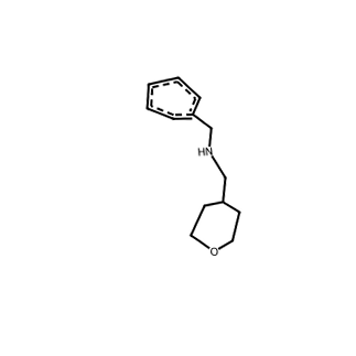 c1ccc(CNCC2CCOCC2)cc1